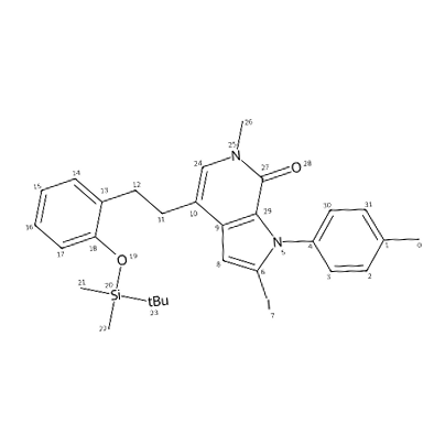 Cc1ccc(-n2c(I)cc3c(CCc4ccccc4O[Si](C)(C)C(C)(C)C)cn(C)c(=O)c32)cc1